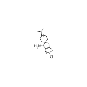 CC(C)N1CCC2(CC1)Cc1sc(Cl)nc1[C@@H]2N